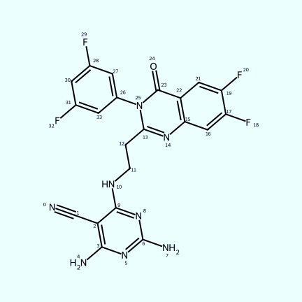 N#Cc1c(N)nc(N)nc1NCCc1nc2cc(F)c(F)cc2c(=O)n1-c1cc(F)cc(F)c1